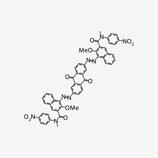 COc1c(C(=O)N(C)c2ccc([N+](=O)[O-])cc2)cc2ccccc2c1N=Nc1ccc2c(c1)C(=O)c1ccc(N=Nc3c(OC)c(C(=O)N(C)c4ccc([N+](=O)[O-])cc4)cc4ccccc34)cc1C2=O